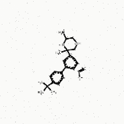 CC(C)(C)c1ccc(-c2cccc(C3(C)CNCC(N)O3)c2)cc1.O=CO